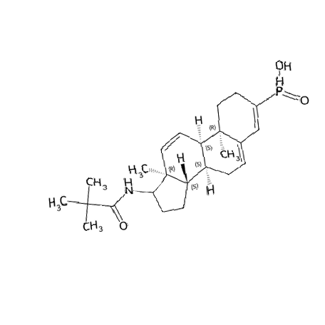 CC(C)(C)C(=O)NC1CC[C@H]2[C@@H]3CC=C4C=C([PH](=O)O)CC[C@]4(C)[C@@H]3C=C[C@]12C